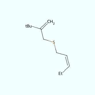 C=C(CSC/C=C\CC)C(C)(C)C